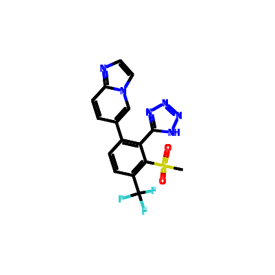 CS(=O)(=O)c1c(C(F)(F)F)ccc(-c2ccc3nccn3c2)c1-c1nnn[nH]1